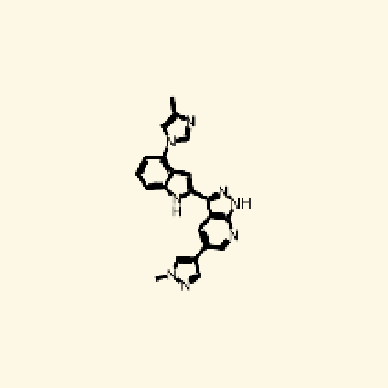 Cc1cn(-c2cccc3[nH]c(-c4n[nH]c5ncc(-c6cnn(C)c6)cc45)cc23)cn1